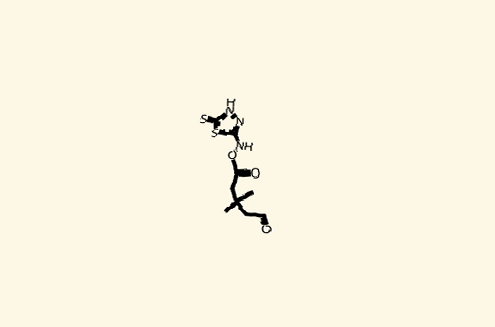 CC(C)(CC=O)CC(=O)ONc1n[nH]c(=S)s1